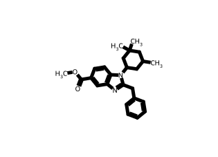 COC(=O)c1ccc2c(c1)nc(Cc1ccccc1)n2C1CC(C)CC(C)(C)C1